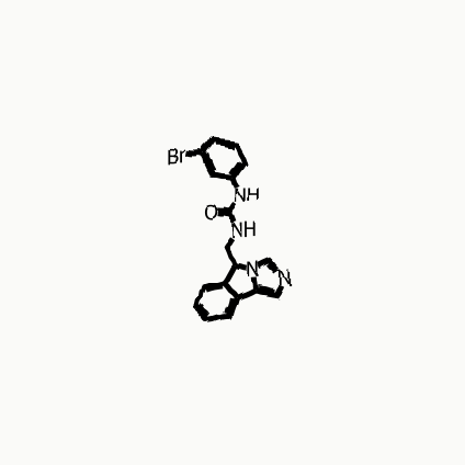 O=C(NCC1c2ccccc2-c2cncn21)Nc1cccc(Br)c1